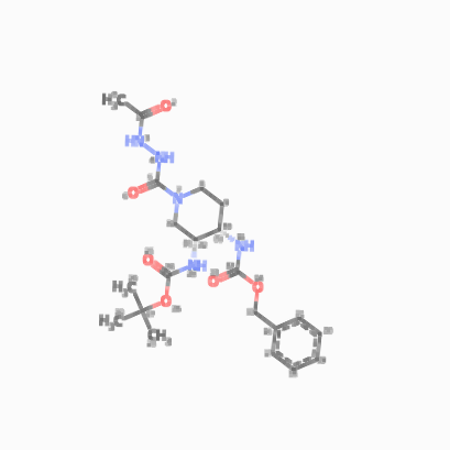 CC(=O)NNC(=O)N1CC[C@H](NC(=O)OCc2ccccc2)[C@H](NC(=O)OC(C)(C)C)C1